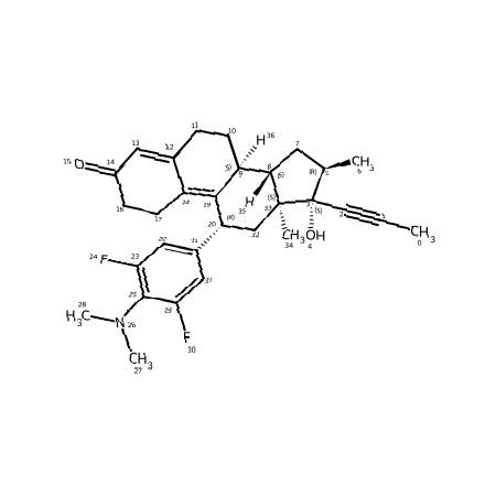 CC#C[C@]1(O)[C@H](C)C[C@H]2[C@@H]3CCC4=CC(=O)CCC4=C3[C@@H](c3cc(F)c(N(C)C)c(F)c3)C[C@@]21C